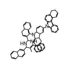 CC1=C(c2ccccc2)NC(C2=CCC3C=CC=CC3=C2N2C3=Cc4ccccc4CC3C3C=C(n4c5ccccc5c5c6c(ccc54)CCC=C6)C=CC32)NC1C1=CC2C=CC=CC2C=C1